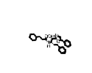 O=C(CCC1CCCCC1)N[C@@H](CCc1ccccc1)C(O)c1ncc(-c2ccccc2)o1